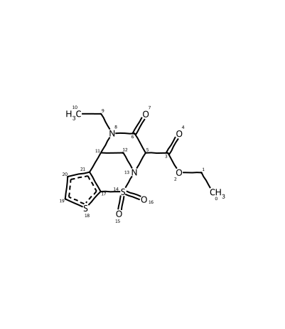 CCOC(=O)C1C(=O)N(CC)C2CN1S(=O)(=O)c1sccc12